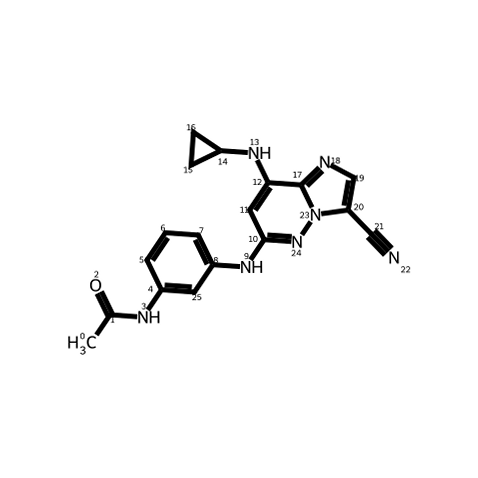 CC(=O)Nc1cccc(Nc2cc(NC3CC3)c3ncc(C#N)n3n2)c1